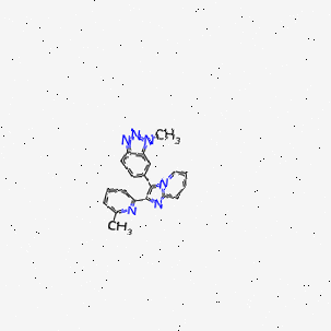 Cc1cccc(-c2nc3ccccn3c2-c2ccc3nnn(C)c3c2)n1